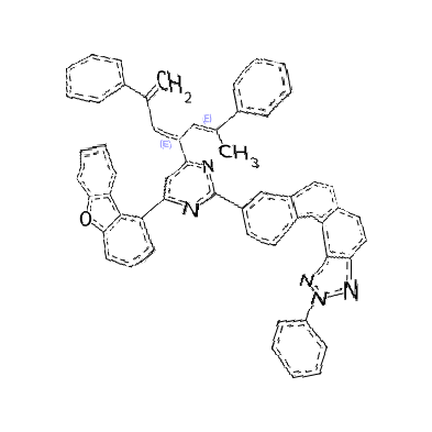 C=C(/C=C(\C=C(/C)c1ccccc1)c1cc(-c2cccc3oc4ccccc4c23)nc(-c2ccc3c(ccc4ccc5nn(-c6ccccc6)nc5c43)c2)n1)c1ccccc1